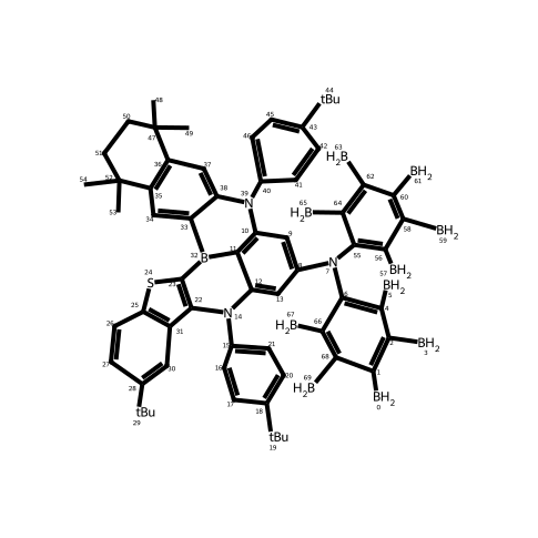 Bc1c(B)c(B)c(N(c2cc3c4c(c2)N(c2ccc(C(C)(C)C)cc2)c2c(sc5ccc(C(C)(C)C)cc25)B4c2cc4c(cc2N3c2ccc(C(C)(C)C)cc2)C(C)(C)CCC4(C)C)c2c(B)c(B)c(B)c(B)c2B)c(B)c1B